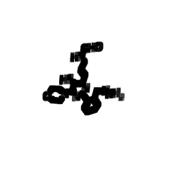 N/N=C\c1ccccc1-c1nc(/C=C/CNC=O)c(S)c(N2CCOCC2)n1